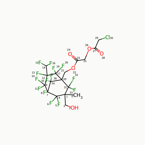 CC1(CO)C(F)(F)C2(F)C(F)(F)C(F)(C(F)F)C(F)(F)C(COC(=O)COC(=O)CCl)(C1(F)F)C2(F)F